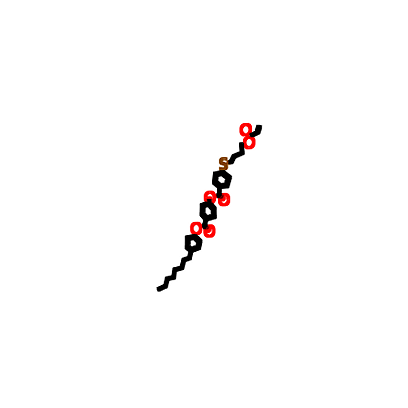 C=CC(=O)OCCCCSc1ccc(C(=O)Oc2ccc(C(=O)Oc3ccc(CCCCCCCC)cc3)cc2)cc1